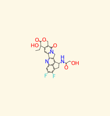 CC[C@@]1(O)C(=O)OCc2c1cc1n(c2=O)Cc2c-1nc1cc(F)c(F)c3c1c2C(NC(=O)CO)C3